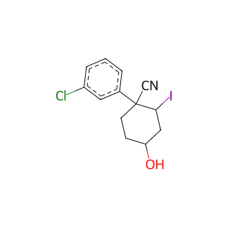 N#CC1(c2cccc(Cl)c2)CCC(O)CC1I